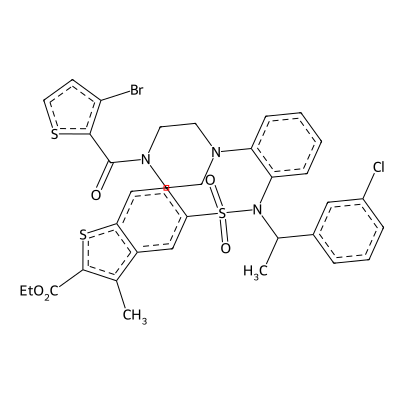 CCOC(=O)c1sc2ccc(S(=O)(=O)N(c3ccccc3N3CCN(C(=O)c4sccc4Br)CC3)C(C)c3cccc(Cl)c3)cc2c1C